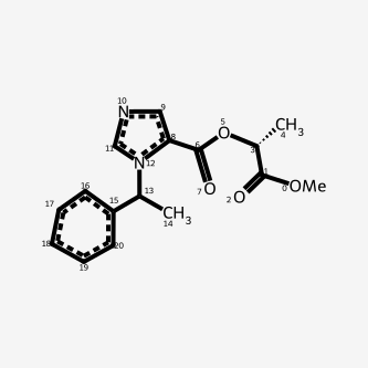 COC(=O)[C@@H](C)OC(=O)c1cncn1C(C)c1ccccc1